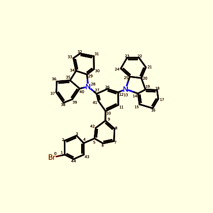 Brc1ccc(-c2cccc(-c3cc(-n4c5ccccc5c5ccccc54)cc(-n4c5ccccc5c5ccccc54)c3)c2)cc1